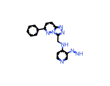 N=Nc1cnccc1NCc1nnc2ccc(-c3ccccc3)nn12